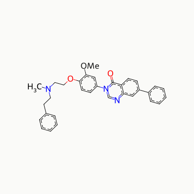 COc1cc(-n2cnc3cc(-c4ccccc4)ccc3c2=O)ccc1OCCN(C)CCc1ccccc1